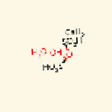 O.O.O=S(=O)(O)OS(=O)(=O)O.[CaH2]